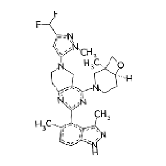 Cc1ccc2[nH]nc(C)c2c1-c1nc2c(c(N3CC[C@@H]4OC[C@]4(C)C3)n1)CN(c1cc(C(F)F)nn1C)CC2